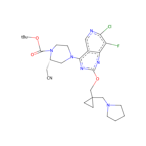 CC(C)(C)OC(=O)N1CCN(c2nc(OCC3(CN4CCCC4)CC3)nc3c(F)c(Cl)ncc23)C[C@@H]1CC#N